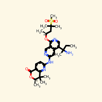 CCC(C)(N)c1cnc(O[C@@H](C)CC(C)(C)S(C)(=O)=O)c2cnc(Nc3ccc4c(n3)C(C)(C)[C@@H](C)OC4=O)cc12